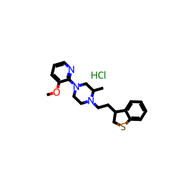 COc1cccnc1N1CCN(CCC2CSc3ccccc32)C(C)C1.Cl